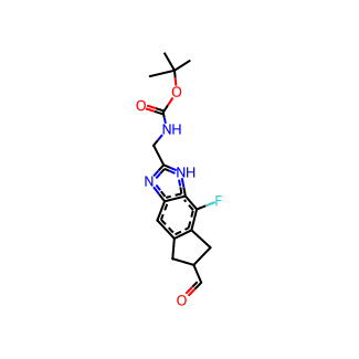 CC(C)(C)OC(=O)NCc1nc2cc3c(c(F)c2[nH]1)CC(C=O)C3